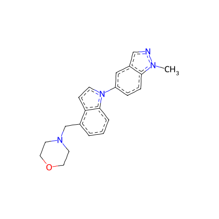 Cn1ncc2cc(-n3ccc4c(CN5CCOCC5)cccc43)ccc21